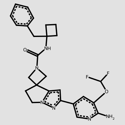 Nc1ncc(-c2cc3n(n2)CCC32CN(C(=O)NC3(Cc4ccccc4)CCC3)C2)cc1OC(F)F